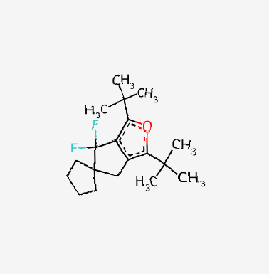 CC(C)(C)c1oc(C(C)(C)C)c2c1CC1(CCCC1)C2(F)F